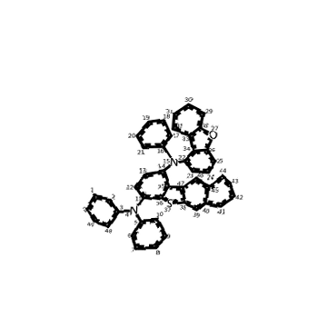 c1ccc(N(c2ccccc2)c2ccc(N(c3ccccc3)c3cccc4oc5ccccc5c34)c3c2sc2cc4ccccc4cc23)cc1